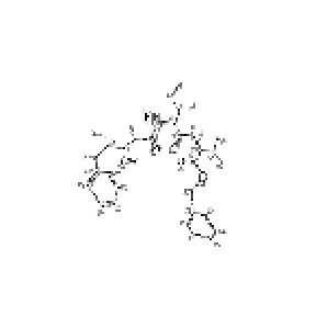 CC[C@H](C)[C@H](NC(=O)C[C@H](O)[C@@H](C)Cc1ccccc1)C(=O)N[C@H](C(=O)OCc1ccccc1)C(C)C